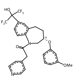 COc1cccc(O[C@H]2CCc3cc(C(O)(C(F)(F)F)C(F)(F)F)ccc3N(C(=O)Cc3ccncc3)C2)c1